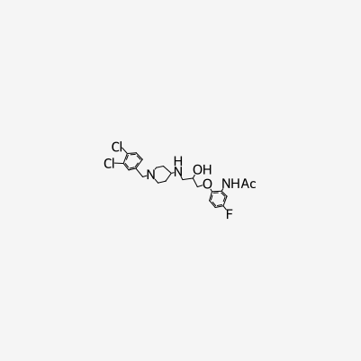 CC(=O)Nc1cc(F)ccc1OCC(O)CNC1CCN(Cc2ccc(Cl)c(Cl)c2)CC1